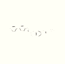 COC(=O)Cc1ccc2c(c1)CC(c1nc3ccc(-c4ccncc4)cc3s1)CO2